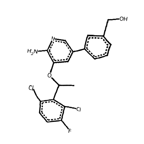 CC(Oc1cc(-c2cccc(CO)c2)cnc1N)c1c(Cl)ccc(F)c1Cl